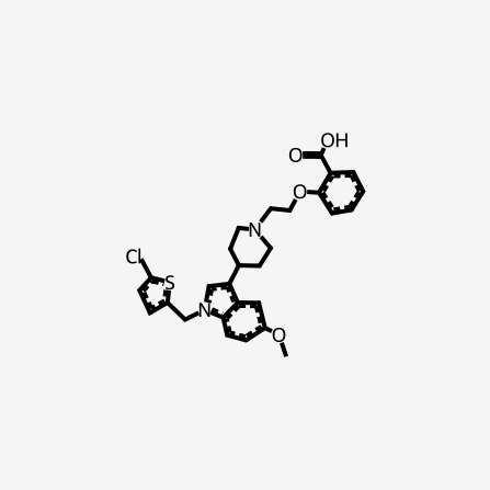 COc1ccc2c(c1)c(C1CCN(CCOc3ccccc3C(=O)O)CC1)cn2Cc1ccc(Cl)s1